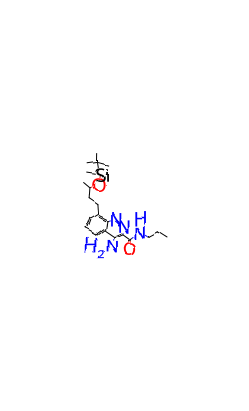 CCCNC(=O)c1nnc2c(CCC(C)O[Si](C)(C)C(C)(C)C)cccc2c1N